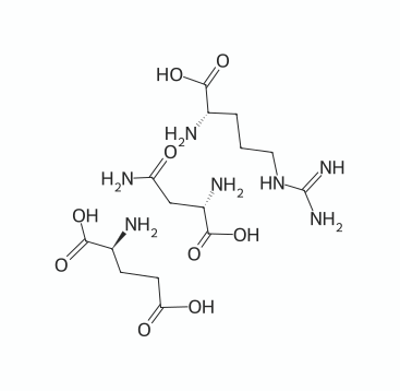 N=C(N)NCCC[C@H](N)C(=O)O.NC(=O)C[C@H](N)C(=O)O.N[C@@H](CCC(=O)O)C(=O)O